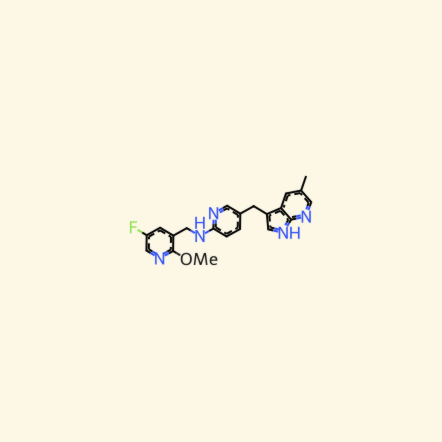 COc1ncc(F)cc1CNc1ccc(Cc2c[nH]c3ncc(C)cc23)cn1